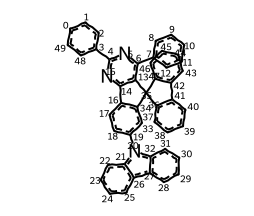 c1ccc(-c2nc(-c3ccccc3)c3c(n2)-c2ccc(-n4c5ccccc5c5ccccc54)cc2C32c3ccccc3-c3ccccc32)cc1